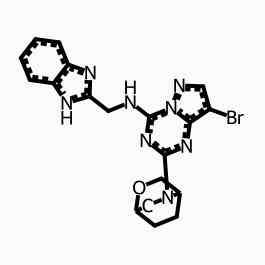 Brc1cnn2c(NCc3nc4ccccc4[nH]3)nc(N3CC4CCC3CO4)nc12